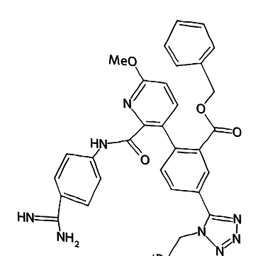 COc1ccc(-c2ccc(-c3nnnn3CC(C)(C)C)cc2C(=O)OCc2ccccc2)c(C(=O)Nc2ccc(C(=N)N)cc2)n1